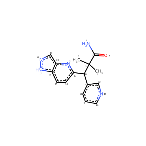 CC(C)(C(N)=O)C(c1cccnc1)c1ccc2[nH]ncc2n1